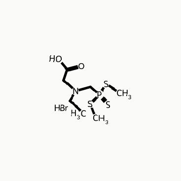 Br.CCN(CC(=O)O)CP(=S)(SC)SC